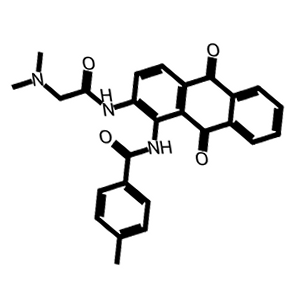 Cc1ccc(C(=O)Nc2c(NC(=O)CN(C)C)ccc3c2C(=O)c2ccccc2C3=O)cc1